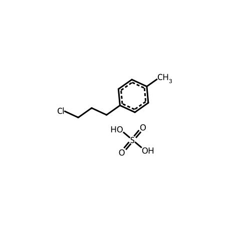 Cc1ccc(CCCCl)cc1.O=S(=O)(O)O